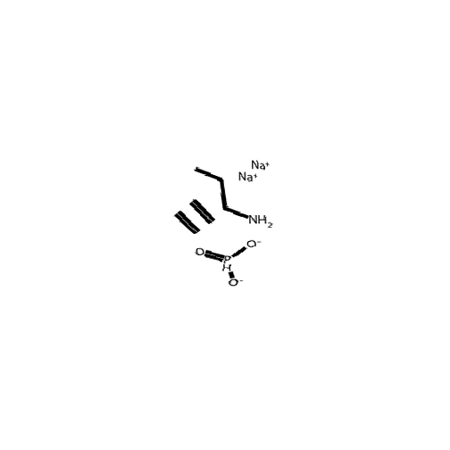 C=C.C=C.CCCN.O=[PH]([O-])[O-].[Na+].[Na+]